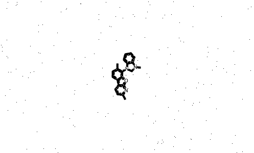 Cc1ccc2c(n1)oc1c(N3CN(C)c4ccccc43)c(C)ccc12